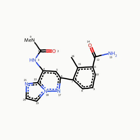 CNC(=O)Nc1cc(-c2cccc(C(N)=O)c2C)nn2ccnc12